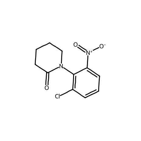 O=C1CCCCN1c1c(Cl)cccc1[N+](=O)[O-]